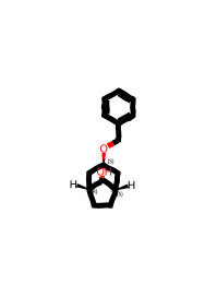 OC1[C@@H]2CC[C@H]1C[C@H](OCc1ccccc1)C2